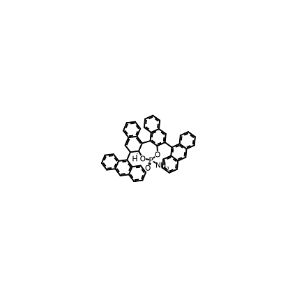 NP1(=O)Oc2c(-c3c4ccccc4cc4ccccc34)cc3ccccc3c2C2=c3ccccc3=CC(c3c4ccccc4cc4ccccc34)[C@@H]2O1